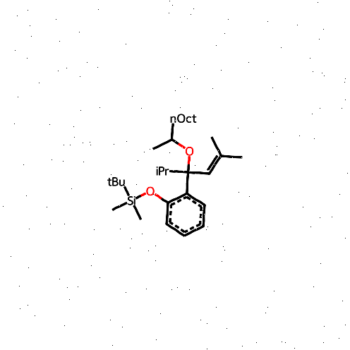 CCCCCCCCC(C)OC(C=C(C)C)(c1ccccc1O[Si](C)(C)C(C)(C)C)C(C)C